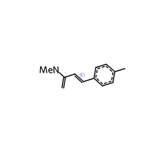 C=C(/C=C/c1ccc(C)cc1)NC